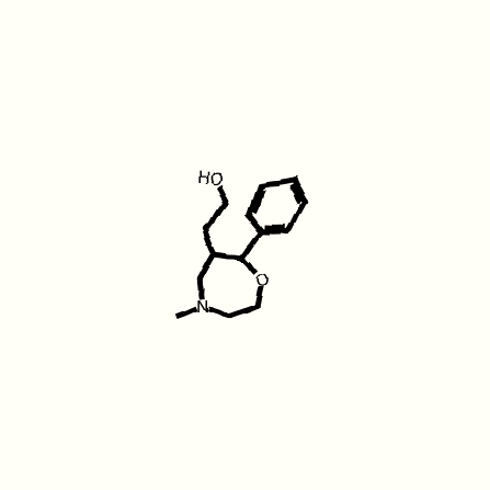 CN1CCOC(c2ccccc2)C(CCO)C1